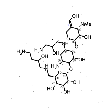 CN[C@H]1/C(=C\O)CO[C@H](O[C@H]2[C@H](NCC(O)CN)C[C@H](N)C(O[C@H]3O[C@H](CNCC(O)CCN)[C@@H](O)[C@H](O)[C@H]3O)[C@@H]2O)[C@@H]1O